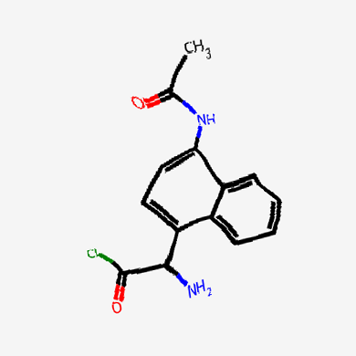 CC(=O)Nc1ccc(C(N)C(=O)Cl)c2ccccc12